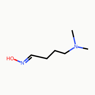 CN(C)CCCC=NO